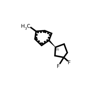 Cc1ccc([C@H]2CCC(F)(F)C2)cc1